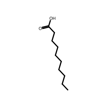 C[CH]CCCCCCCC(=O)O